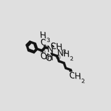 C=CCCC[C@H](N)C(=O)N(C)[C@H](C)[C@H](O)c1ccccc1